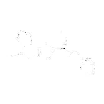 Cl.NC(=Nc1ccc(C(=O)NCc2ccccc2)cc1)N1CCCC1